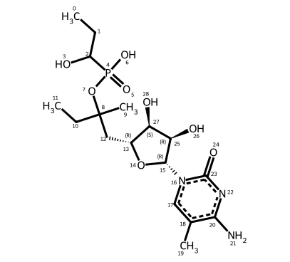 CCC(O)P(=O)(O)OC(C)(CC)C[C@H]1O[C@@H](n2cc(C)c(N)nc2=O)[C@H](O)[C@@H]1O